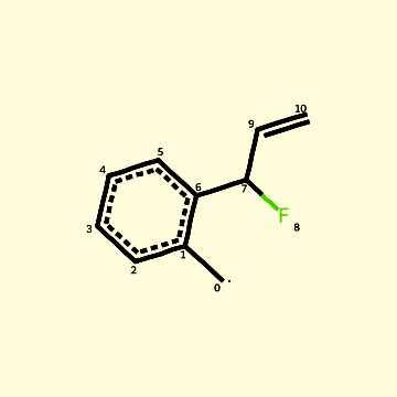 [CH2]c1ccccc1C(F)C=C